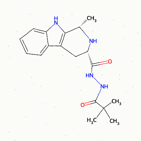 C[C@@H]1N[C@H](C(=O)NNC(=O)C(C)(C)C)Cc2c1[nH]c1ccccc21